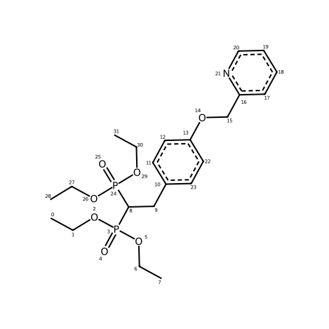 CCOP(=O)(OCC)C(Cc1ccc(OCc2ccccn2)cc1)P(=O)(OCC)OCC